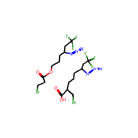 [N-]=[N+]=NC(CCCC(CBr)C(=O)O)CC(F)(F)F.[N-]=[N+]=NC(CCCOC(=O)CCBr)CC(F)(F)F